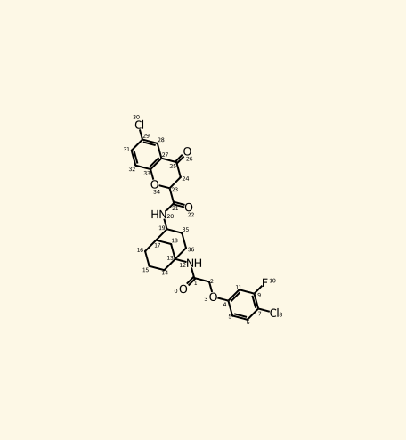 O=C(COc1ccc(Cl)c(F)c1)NC12CCCC(C1)C(NC(=O)C1CC(=O)c3cc(Cl)ccc3O1)CC2